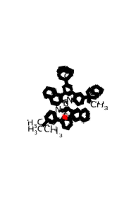 CCC1(c2ccc3c(c2)c2cc(C45CCC6CC(CC6C4)C5)cc4c2n3B2c3c(cc5ccccc5c3-4)N(c3ccc(C(C)(C)C)cc3-c3ccccc3)c3sc4cc5ccccc5cc4c32)CC2CCC(C2)C1